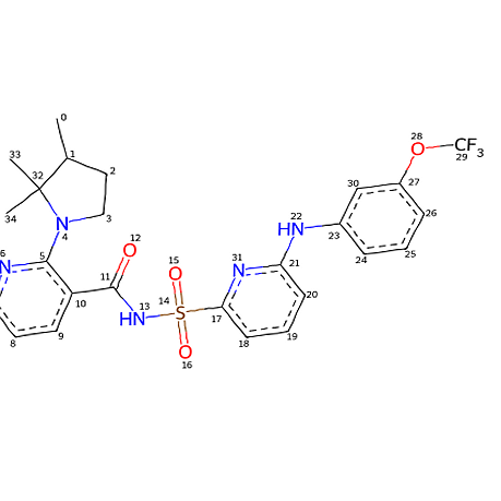 CC1CCN(c2ncccc2C(=O)NS(=O)(=O)c2cccc(Nc3cccc(OC(F)(F)F)c3)n2)C1(C)C